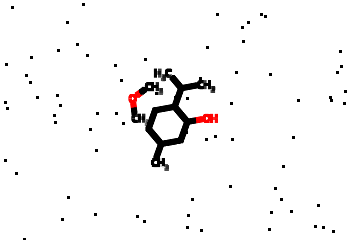 CC1CCC(C(C)C)C(O)C1.COC